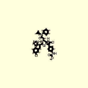 COC(=O)Nc1ccc(-c2nc([C@H](CC(=O)N(c3ccccc3)C3CC3)NC(=O)C=Cc3cc(Cl)ccc3-n3cnnn3)[nH]c2Cl)cc1